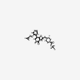 C[C@@H]1CN(C(=O)OC(C)(C)C)CCN1Cc1cc2c(=O)n(C)cc(-c3ccncc3OCC3CC3)c2o1